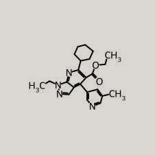 CCOC(=O)c1c(C2CCCCC2)nc2c(cnn2CC)c1-c1cncc(C)c1